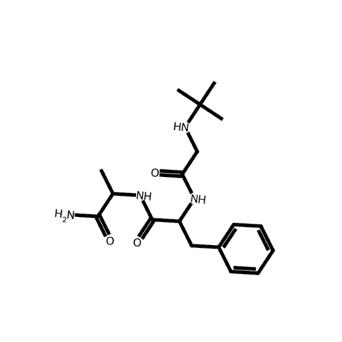 CC(NC(=O)C(Cc1ccccc1)NC(=O)CNC(C)(C)C)C(N)=O